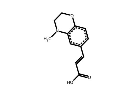 CN1CCOc2ccc(C=CC(=O)O)cc21